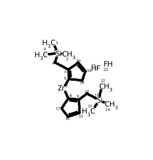 C[Si](C)(C)CC1=[C]([Zr][C]2=C(C[Si](C)(C)C)C=CC2)CC=C1.F.F